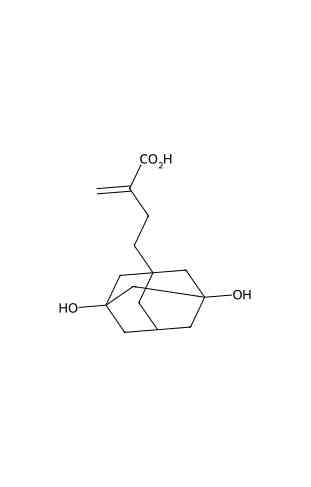 C=C(CCC12CC3CC(O)(CC(O)(C3)C1)C2)C(=O)O